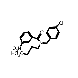 O=C(O)CCCN(Cc1ccc(Cl)cc1)C(=O)c1cccc([N+](=O)[O-])c1